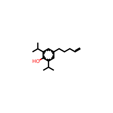 C=CCCCc1cc(C(C)C)c(O)c(C(C)C)c1